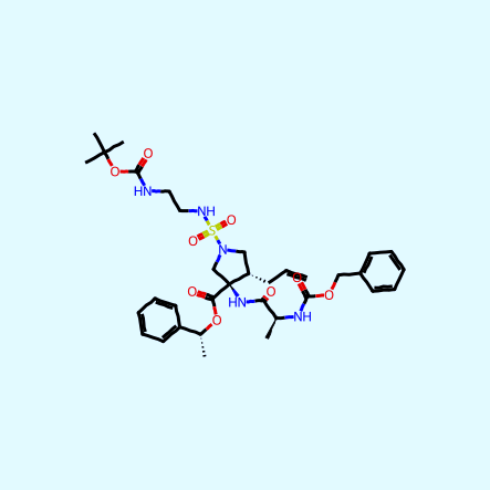 C=CC[C@H]1CN(S(=O)(=O)NCCNC(=O)OC(C)(C)C)C[C@@]1(NC(=O)[C@H](C)NC(=O)OCc1ccccc1)C(=O)O[C@H](C)c1ccccc1